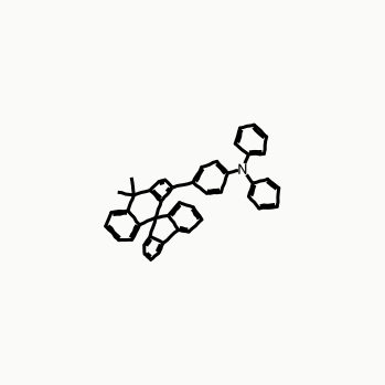 CC1(C)c2ccccc2C2(c3ccccc3-c3ccccc32)c2cc(-c3ccc(N(c4ccccc4)c4ccccc4)cc3)ccc21